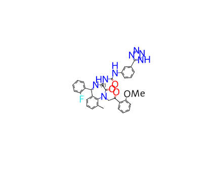 COc1ccccc1C(=O)CN1C(=O)[C@H](NC(=O)Nc2cccc(-c3nnn[nH]3)c2)N=C(c2ccccc2F)c2cccc(C)c21